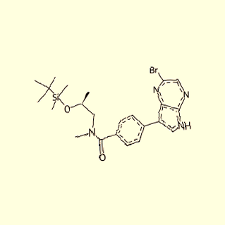 C[C@@H](CN(C)C(=O)c1ccc(-c2c[nH]c3ncc(Br)nc23)cc1)O[Si](C)(C)C(C)(C)C